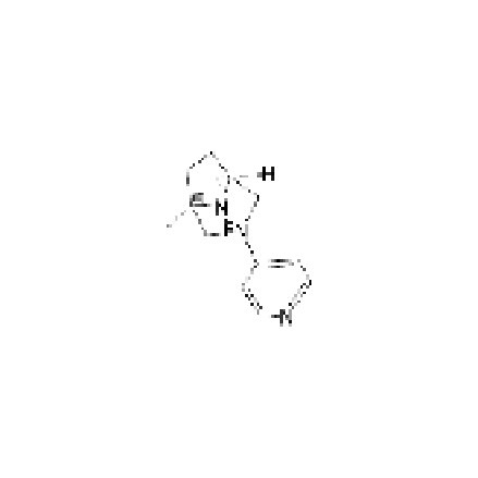 C[C@@]12CC[C@@H](CN(c3ccncc3)C1)N2F